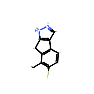 Cc1c(F)ccc2c1Cc1[nH]ncc1-2